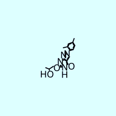 Cc1ccc(-n2cc3c(=O)[nH]c(OCC(C)O)nc3n2)c(C)c1